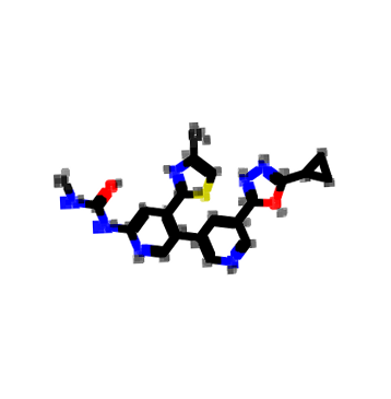 CCNC(=O)Nc1cc(-c2nc(C(F)(F)F)cs2)c(-c2cncc(-c3nnc(C4CC4)o3)c2)cn1